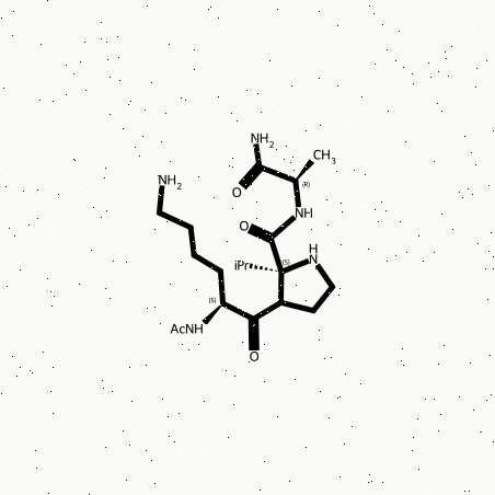 CC(=O)N[C@@H](CCCCN)C(=O)C1CCN[C@@]1(C(=O)N[C@H](C)C(N)=O)C(C)C